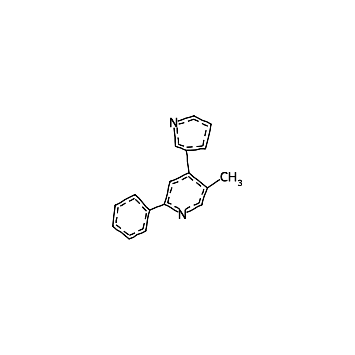 Cc1cnc(-c2ccccc2)cc1-c1cccnc1